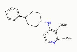 COc1nccc(N[C@H]2CC[C@H](c3ccccc3)CC2)c1OC